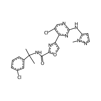 Cn1nccc1Nc1ncc(Cl)c(-c2coc(C(=O)NC(C)(C)c3cccc(Cl)c3)n2)n1